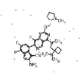 CN(CC1(N(C)C)CCC1)c1nc(OC[C@@H]2CCCN2C)nc2c(F)c(-c3cc(F)c(F)c4sc(N)c(C#N)c34)ncc12